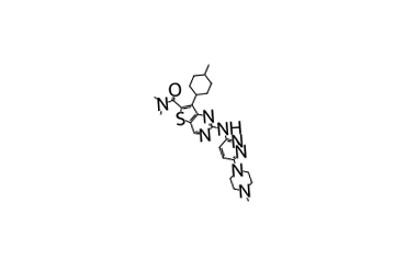 CC1CCC(c2c(C(=O)N(C)C)sc3cnc(Nc4ccc(N5CCN(C)CC5)nn4)nc23)CC1